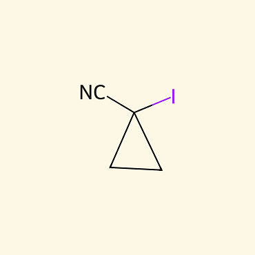 N#CC1(I)CC1